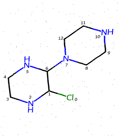 ClC1NCCNC1N1CCNCC1